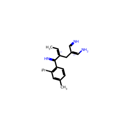 C/C=C(/C/C(C=N)=C/N)C(=N)c1ccc(C)cc1C(C)C